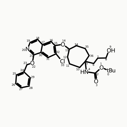 CC(C)(C)OC(=O)NC1(CCCO)CCCC(Oc2cc3ccnc(OCc4ccccc4)c3cc2Cl)CCC1